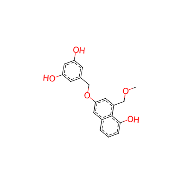 COCc1cc(OCc2cc(O)cc(O)c2)cc2cccc(O)c12